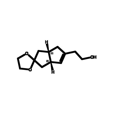 OCCC1=C[C@@H]2CC3(C[C@@H]2C1)OCCO3